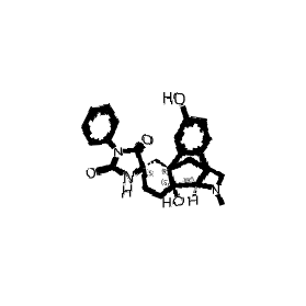 CN1CC23C[C@@]4(C[C@]5(CC[C@@]4(O)[C@H]12)NC(=O)N(c1ccccc1)C5=O)c1cc(O)ccc13